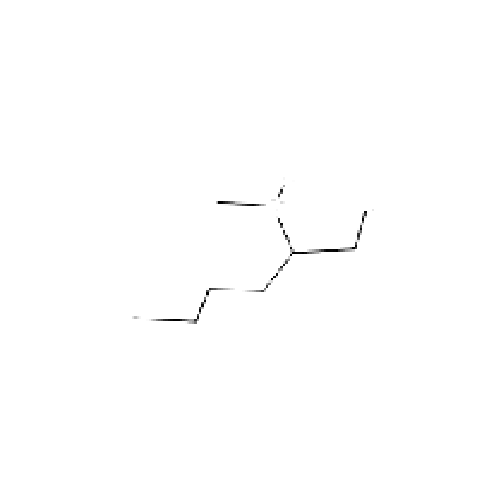 [CH2]CC(CCCC)[S+](C)[O-]